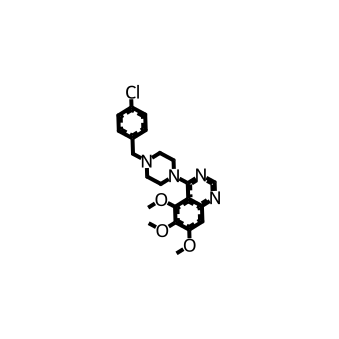 COc1cc2ncnc(N3CCN(Cc4ccc(Cl)cc4)CC3)c2c(OC)c1OC